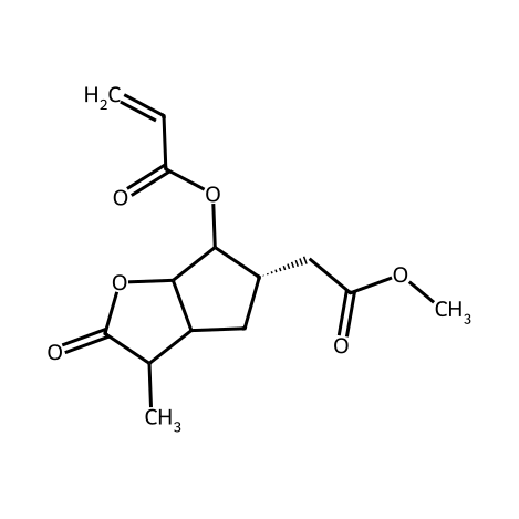 C=CC(=O)OC1C2OC(=O)C(C)C2C[C@H]1CC(=O)OC